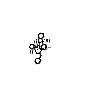 C[N+]1(C2[C@@H]3CC[C@@H]2[C@H](OC(=O)C(O)(c2ccccc2)c2ccccc2)C3)CCC(Cc2ccccc2)CC1.[Br-]